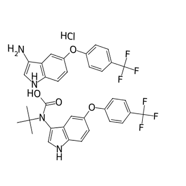 CC(C)(C)N(C(=O)O)c1c[nH]c2ccc(Oc3ccc(C(F)(F)F)cc3)cc12.Cl.Nc1c[nH]c2ccc(Oc3ccc(C(F)(F)F)cc3)cc12